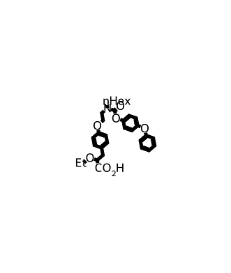 CCCCCCN(CCOc1ccc(CC(OCC)C(=O)O)cc1)C(=O)Oc1ccc(Oc2ccccc2)cc1